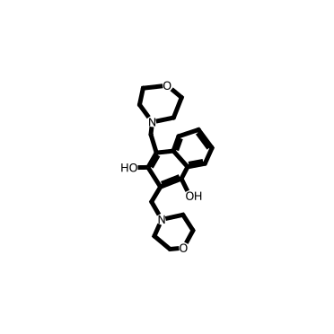 Oc1c(CN2CCOCC2)c(O)c2ccccc2c1CN1CCOCC1